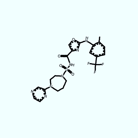 Cc1ccc(C(F)(F)F)cc1Nc1nc(C(=O)NS(=O)(=O)N2CCCN(c3cnccn3)CC2)co1